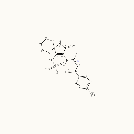 C/C(=C/C(=N)c1ccc(C(F)(F)F)cc1)N(C)C1=C(OS(C)(=O)=O)C2(CCCCC2)NC1=O